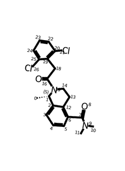 C[C@H]1c2cccc(C(=O)N(C)C)c2CCN1C(=O)Cc1c(Cl)cccc1Cl